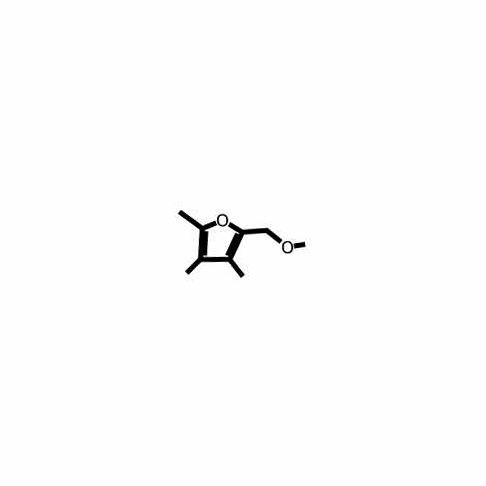 COCc1oc(C)c(C)c1C